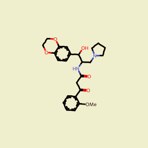 COc1ccccc1C(=O)CC(=O)NC(CN1CCCC1)C(O)c1ccc2c(c1)OCCO2